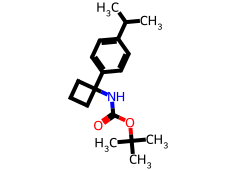 CC(C)c1ccc(C2(NC(=O)OC(C)(C)C)CCC2)cc1